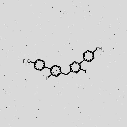 Cc1ccc(-c2ccc(Cc3ccc(-c4ccc(C(F)(F)F)cc4)c(F)c3)cc2F)cc1